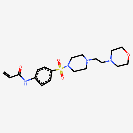 C=CC(=O)Nc1ccc(S(=O)(=O)N2CCN(CCN3CCOCC3)CC2)cc1